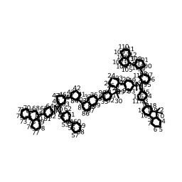 CC1(C)c2ccccc2-c2ccc(-c3ccc(N(c4ccc(-c5cccc6c5C(C)(C)c5ccc(-c7ccc8c(-c9cccc(-c%10cccc(N(c%11ccc(-c%12ccccc%12)cc%11)c%11ccc(-c%12cc%13ccccc%13c%13ccccc%12%13)cc%11)c%10)c9)cccc8c7)cc5-6)cc4)c4cccc(-c5cccc(-c6cccc7ccccc67)c5)c4)cc3)cc21